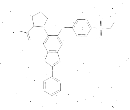 CCS(=O)(=O)c1ccc(Oc2cc3nc(-c4cnccn4)[nH]c3cc2N2CCCC2C(C)=O)cn1